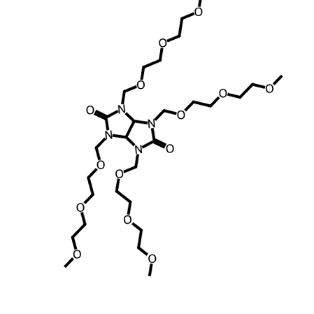 COCCOCCOCN1C(=O)N(COCCOCCOC)C2C1N(COCCOCCOC)C(=O)N2COCCOCCOC